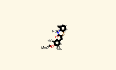 COCOc1c(C(C)(C)C)cc(C=C2Sc3cccc(C)c3N(C#N)C2=O)cc1C(C)(C)C